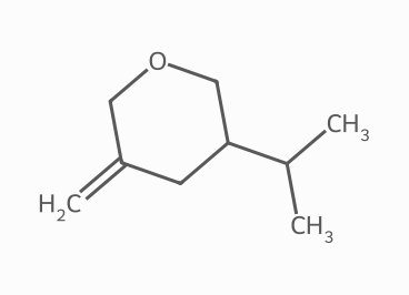 C=C1COCC(C(C)C)C1